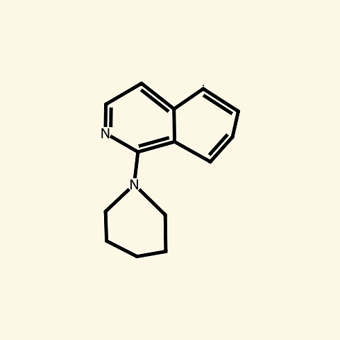 [c]1cccc2c(N3CCCCC3)nccc12